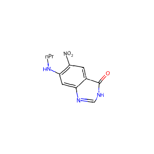 CCCNc1cc2nc[nH]c(=O)c2cc1[N+](=O)[O-]